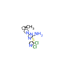 C[C@@H]1CCCC12CCN(c1cnc(Sc3ccnc(Cl)c3Cl)c(CN)n1)CC2